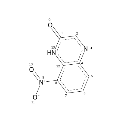 O=c1cnc2cccc([N+](=O)[O-])c2[nH]1